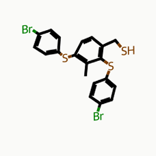 Cc1c(Sc2ccc(Br)cc2)ccc(CS)c1Sc1ccc(Br)cc1